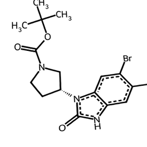 CC(C)(C)OC(=O)N1CC[C@@H](n2c(=O)[nH]c3cc(F)c(Br)cc32)C1